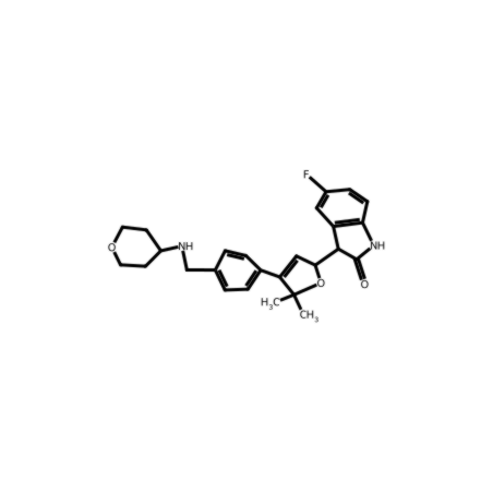 CC1(C)OC(C2C(=O)Nc3ccc(F)cc32)C=C1c1ccc(CNC2CCOCC2)cc1